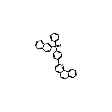 S=P(c1ccccc1)(c1ccc(-c2ccc3ccc4ccccc4c3n2)cc1)c1ccc2ccccc2c1